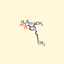 C=CC1CN(CCCCCCC)CCC1C(NC)C(=O)O